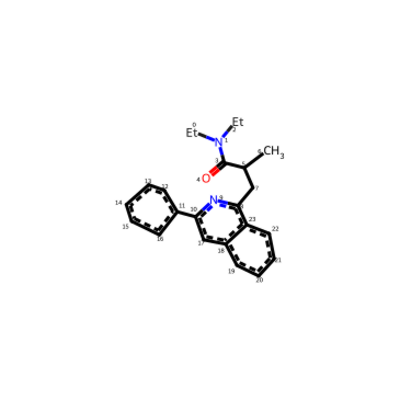 CCN(CC)C(=O)C(C)Cc1nc(-c2ccccc2)cc2ccccc12